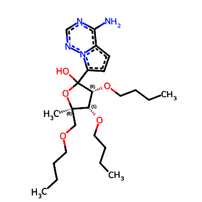 CCCCOC[C@@]1(C)OC(O)(c2ccc3c(N)ncnn23)[C@H](OCCCC)[C@@H]1OCCCC